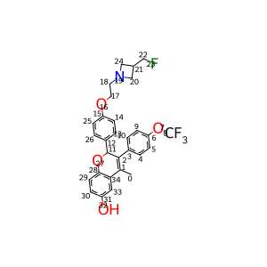 CC1=C(c2ccc(OC(F)(F)F)cc2)C(c2ccc(OCCN3CC(CF)C3)cc2)Oc2ccc(O)cc21